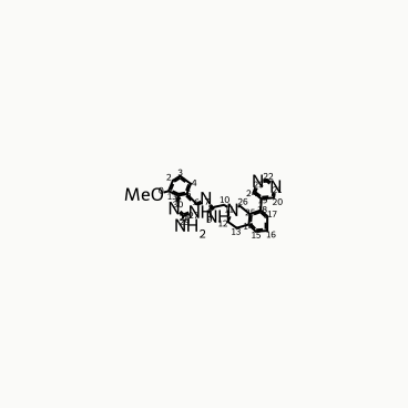 COc1cccc2/c(=N/C(=N)CN3CCc4cccc(-c5cncnc5)c4C3)[nH]c(N)nc12